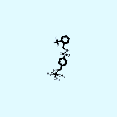 CC(C)(C)NCc1ccc(S(=O)(=O)NCc2ccccc2C(F)(F)F)cc1